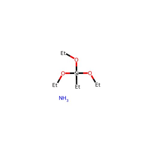 CCO[Si](CC)(OCC)OCC.N